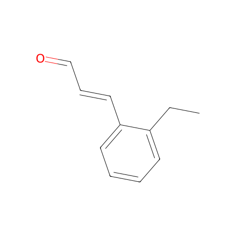 CCc1ccccc1C=CC=O